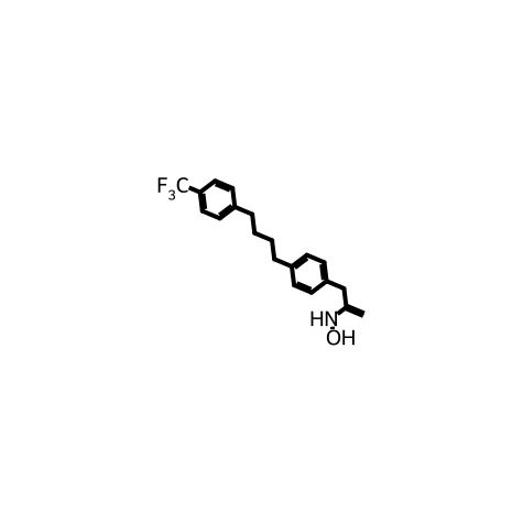 C=C(Cc1ccc(CCCCc2ccc(C(F)(F)F)cc2)cc1)NO